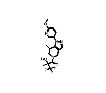 COc1ccc(-n2ncc3c2[C@H](C)CN(C(=O)[C@@](C)(O)C(F)(F)F)C3)cn1